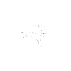 COCc1cccc(NC(=O)c2cc3sccc3n2C)c1COc1ccc(OC2CCCNCC2)cc1.Cl